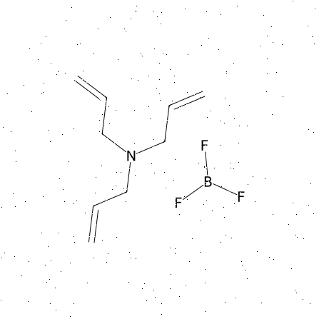 C=CCN(CC=C)CC=C.FB(F)F